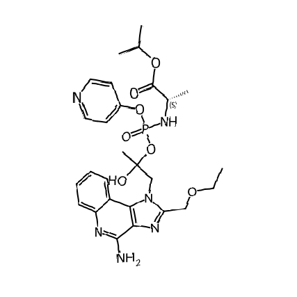 CCOCc1nc2c(N)nc3ccccc3c2n1CC(C)(O)OP(=O)(N[C@@H](C)C(=O)OC(C)C)Oc1ccncc1